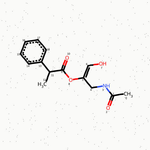 CC(=O)NCC(=CO)OC(=O)C(C)c1ccccc1